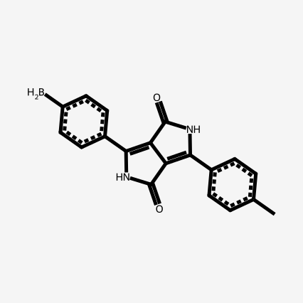 Bc1ccc(C2=C3C(=O)NC(c4ccc(C)cc4)=C3C(=O)N2)cc1